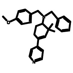 COc1ccc(CN(Cc2ccccc2)C2CCC(c3ccncc3)=CC2(C)C)cc1